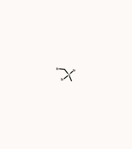 C[Si](Br)(Br)CBr